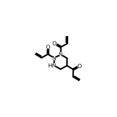 C=CC(=O)C1CNN(C(=O)C=C)N(C(=O)C=C)C1